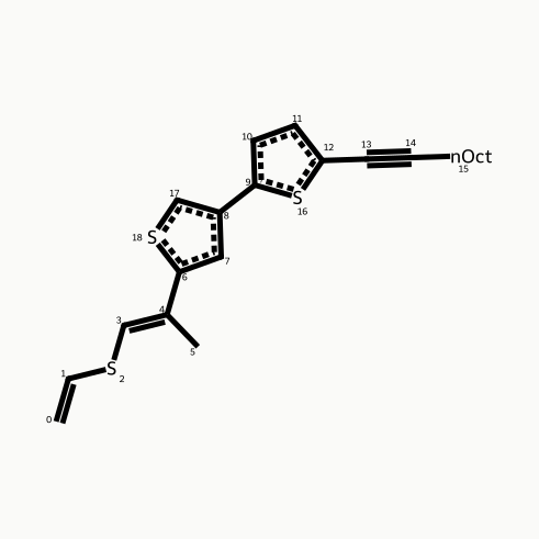 C=CS/C=C(\C)c1cc(-c2ccc(C#CCCCCCCCC)s2)cs1